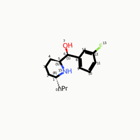 CCC[C@@H]1CCC[C@@H]([C@@H](O)c2cccc(F)c2)N1